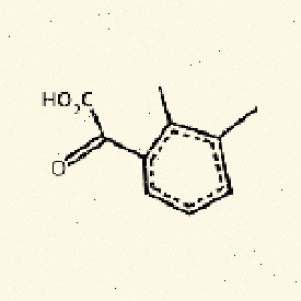 Cc1cccc(C(=O)C(=O)O)c1C